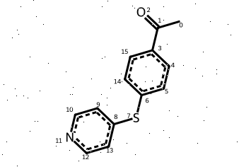 CC(=O)c1ccc(Sc2ccncc2)cc1